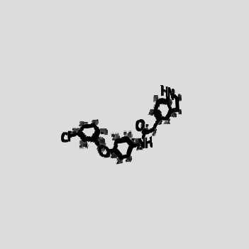 O=C(Cc1ccc2[nH]ccc2c1)Nc1ccc(Oc2cccc(Cl)c2)cc1